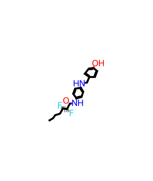 CCCC[C@@H](F)[C@@H](F)C(=O)Nc1ccc(NCc2ccc(O)cc2)cc1